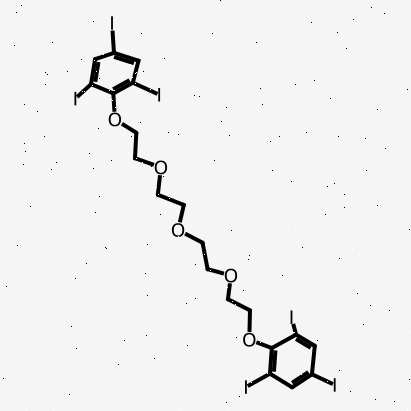 Ic1cc(I)c(OCCOCCOCCOCCOc2c(I)cc(I)cc2I)c(I)c1